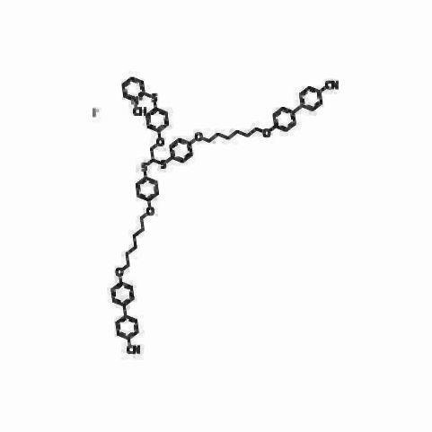 C[n+]1ccccc1Sc1ccc(OCC(Sc2ccc(OCCCCCCOc3ccc(-c4ccc(C#N)cc4)cc3)cc2)Sc2ccc(OCCCCCCOc3ccc(-c4ccc(C#N)cc4)cc3)cc2)cc1.[I-]